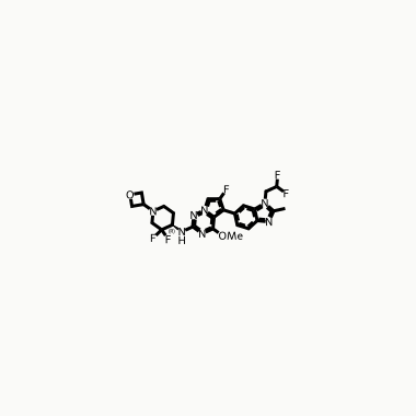 COc1nc(N[C@@H]2CCN(C3COC3)CC2(F)F)nn2cc(F)c(-c3ccc4nc(C)n(CC(F)F)c4c3)c12